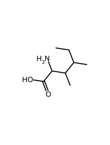 CCC(C)C(C)C(N)C(=O)O